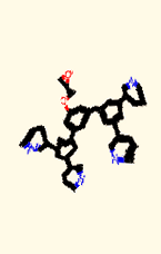 c1cncc(-c2cc(-c3cccnc3)cc(-c3cc(OCC4CO4)cc(-c4cc(-c5cccnc5)cc(-c5cccnc5)c4)c3)c2)c1